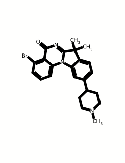 CN1CCC(c2ccc3c(c2)-n2c(nc(=O)c4c(Br)cccc42)C3(C)C)CC1